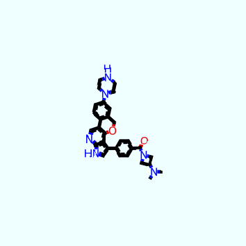 CN(C)C1CN(C(=O)c2ccc(-c3c[nH]c4ncc5c(c34)OCc3cc(N4CCNCC4)ccc3-5)cc2)C1